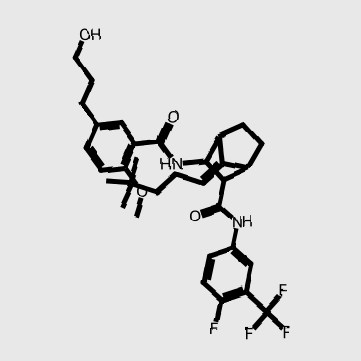 COc1ccc(CCCO)cc1C(=O)NC1C2CCC(/C2=C/CCC(C)(C)C)C1C(=O)Nc1ccc(F)c(C(F)(F)F)c1